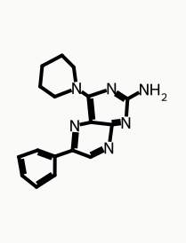 Nc1nc(N2CCCCC2)c2nc(-c3ccccc3)cnc2n1